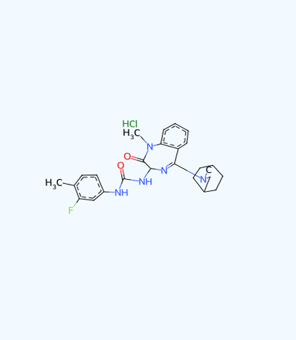 Cc1ccc(NC(=O)NC2N=C(N3CC4CCC(CC4)C3)c3ccccc3N(C)C2=O)cc1F.Cl